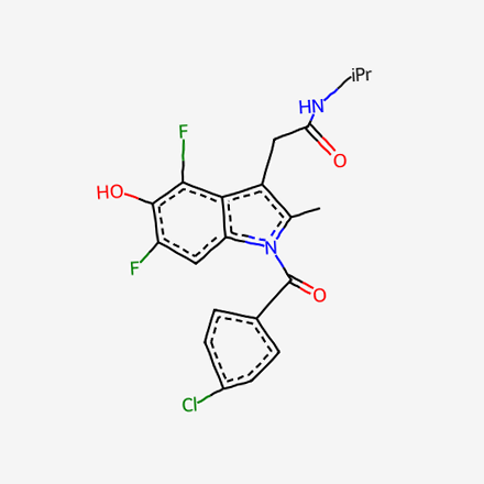 Cc1c(CC(=O)NC(C)C)c2c(F)c(O)c(F)cc2n1C(=O)c1ccc(Cl)cc1